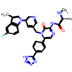 CN[C@@H](C)C(=O)Nc1ncc(-c2ccc(-c3nnn[nH]3)cc2)n(Cc2cncc(-n3cc(C)c4cc(F)ccc43)c2)c1=O